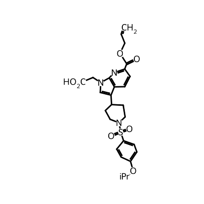 C=CCOC(=O)c1ccc2c(C3CCN(S(=O)(=O)c4ccc(OC(C)C)cc4)CC3)cn(CC(=O)O)c2n1